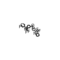 O=C(c1ccc2c(-c3cccc(F)c3)nn(C(F)F)c2c1)N1CCC(c2nc3ccccc3n2C(F)F)CC1